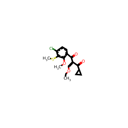 CCOC=C(C(=O)c1ccc(Cl)c(SC)c1OC)C(=O)C1CC1